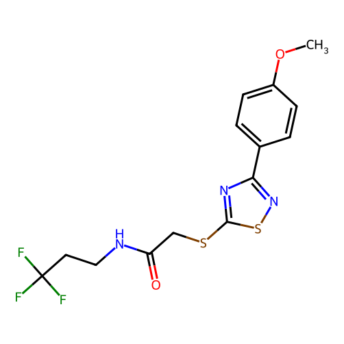 COc1ccc(-c2nsc(SCC(=O)NCCC(F)(F)F)n2)cc1